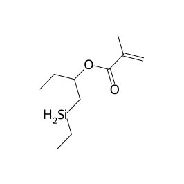 C=C(C)C(=O)OC(CC)C[SiH2]CC